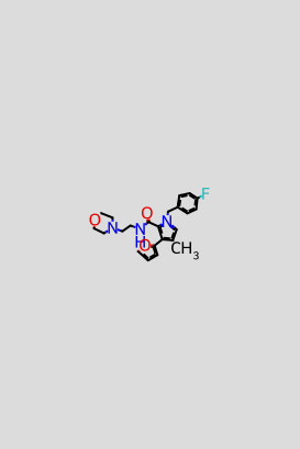 Cc1cn(Cc2ccc(F)cc2)c(C(=O)NCCN2CCOCC2)c1-c1ccco1